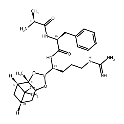 C[C@H](N)C(=O)N[C@@H](Cc1ccccc1)C(=O)N[C@@H](CCCNC(=N)N)B1OC2C[C@@H]3C[C@@H](C3(C)C)[C@]2(C)O1